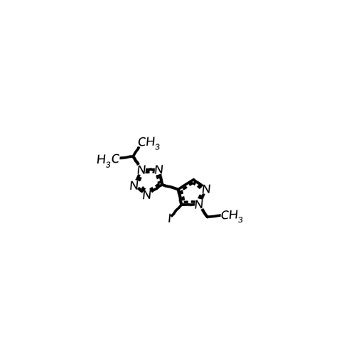 CCn1ncc(-c2nnn(C(C)C)n2)c1I